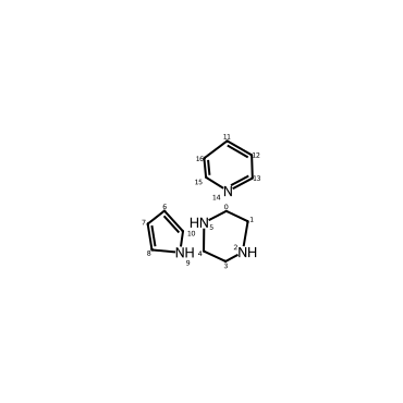 C1CNCCN1.c1cc[nH]c1.c1ccncc1